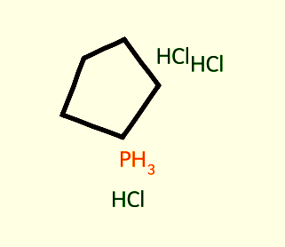 C1CCCC1.Cl.Cl.Cl.P